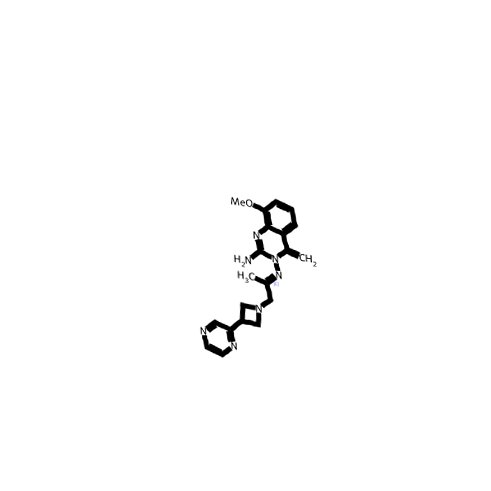 C=C1c2cccc(OC)c2N=C(N)N1/N=C(\C)CN1CC(c2cnccn2)C1